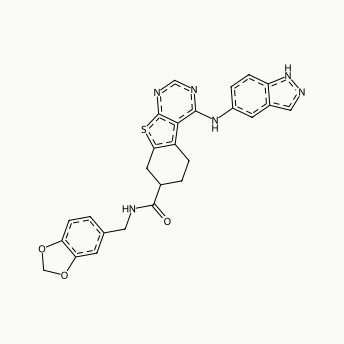 O=C(NCc1ccc2c(c1)OCO2)C1CCc2c(sc3ncnc(Nc4ccc5[nH]ncc5c4)c23)C1